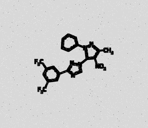 Cc1nn(-c2ccccc2)c(-n2cnc(-c3cc(C(F)(F)F)cc(C(F)(F)F)c3)n2)c1[N+](=O)[O-]